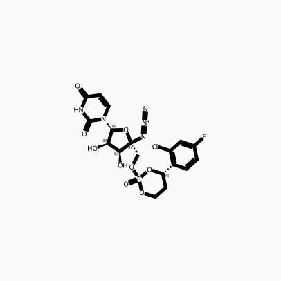 [N-]=[N+]=N[C@]1(COP2(=O)OCC[C@@H](c3ccc(F)cc3Cl)O2)O[C@@H](n2ccc(=O)[nH]c2=O)[C@H](O)[C@@H]1O